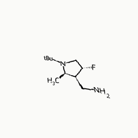 C[C@@H]1[C@H](CN)[C@@H](F)CN1C(C)(C)C